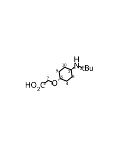 CC(C)(C)N[C@H]1CC[C@H](OCC(=O)O)CC1